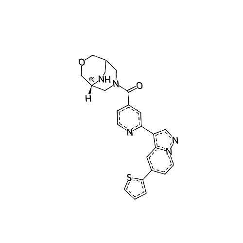 O=C(c1ccnc(-c2cnn3ccc(-c4cccs4)cc23)c1)N1CC2CN[C@@H](COC2)C1